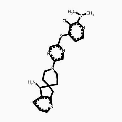 CN(C)c1nccc(Sc2cnc(N3CCC4(CC3)Cc3ncccc3[C@H]4N)cn2)c1Cl